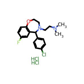 CN(C)CCN1CCOc2ccc(F)cc2C1c1ccc(Cl)cc1.Cl.Cl